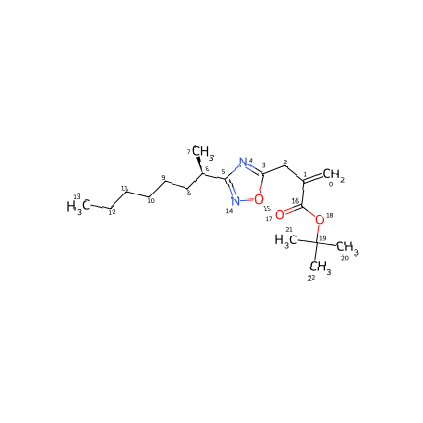 C=C(Cc1nc([C@H](C)CCCCCC)no1)C(=O)OC(C)(C)C